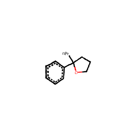 CCCC1(c2ccccc2)CCCO1